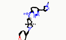 Cn1cc(-c2ccc(N[C@H]3C[C@@H]4CN(CC5CCOCC5)C[C@]4(C)C3)nn2)cn1